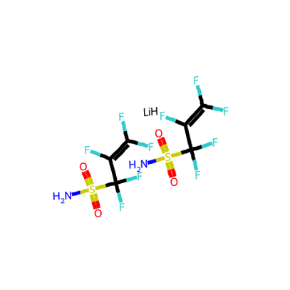 NS(=O)(=O)C(F)(F)C(F)=C(F)F.NS(=O)(=O)C(F)(F)C(F)=C(F)F.[LiH]